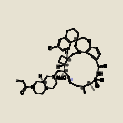 C=CC(=O)N1CCN2CCN(C[C@]3(OC)/C=C/C[C@H](C)[C@@H](C)S(=O)(=O)NC(=O)c4ccc5c(c4)N(C[C@@H]4CC[C@H]43)C[C@@]3(CCCc4cc(Cl)ccc43)CO5)C[C@@H]2C1